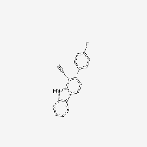 C#Cc1c(-c2ccc(F)cc2)ccc2c1[nH]c1ccccc12